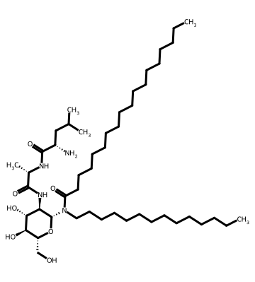 CCCCCCCCCCCCCCCCCC(=O)N(CCCCCCCCCCCCCC)[C@@H]1O[C@H](CO)[C@@H](O)[C@H](O)[C@H]1NC(=O)[C@H](C)NC(=O)[C@@H](N)CC(C)C